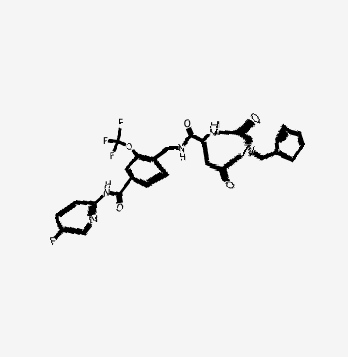 O=C(Nc1ccc(F)cn1)c1ccc(CNC(=O)c2cc(=O)n(Cc3ccccc3)c(=O)[nH]2)c(OC(F)(F)F)c1